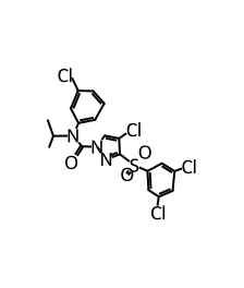 CC(C)N(C(=O)n1cc(Cl)c(S(=O)(=O)c2cc(Cl)cc(Cl)c2)n1)c1cccc(Cl)c1